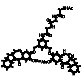 COc1cc2c(cc1OCc1cc(COc3cc4c(cc3OC)C(=O)N3c5ccccc5C[C@H]3CN4)cc(NC(=O)CNC(=O)CNC(=O)CNC(C)=O)c1)N=CC1Cc3ccccc3N1C2=O